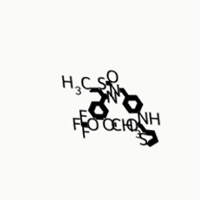 CCC1SC(=O)N(Cc2ccc(NC(=O)c3cccs3)cc2)N=C1c1ccc(OC(F)(F)F)c(OC)c1